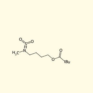 CN(CCCCOC(=O)C(C)(C)C)[SH](=O)=O